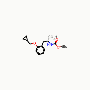 CC(C)(C)OC(=O)N[C@H](Cc1ccccc1OCC1CC1)C(=O)O